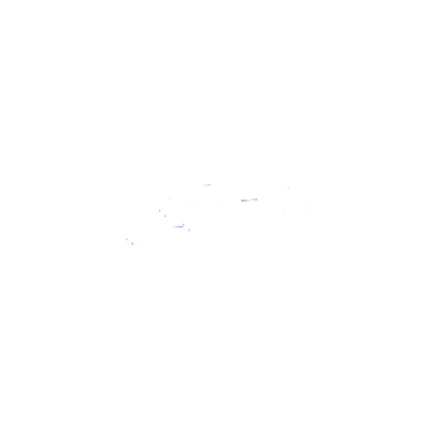 CN1CCc2nc3cc(C#Cc4cccc(F)c4)ccc3c(=O)n2CC1